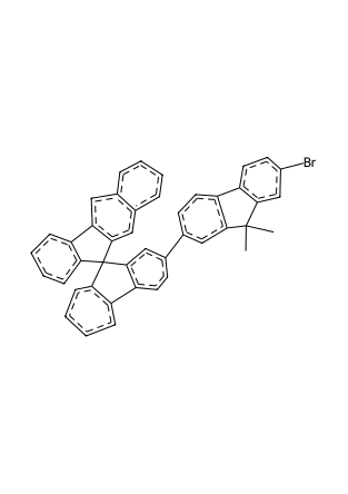 CC1(C)c2cc(Br)ccc2-c2ccc(-c3ccc4c(c3)C3(c5ccccc5-4)c4ccccc4-c4cc5ccccc5cc43)cc21